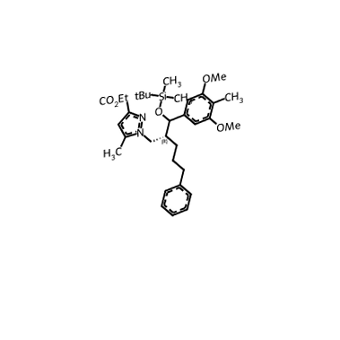 CCOC(=O)c1cc(C)n(C[C@@H](CCCc2ccccc2)C(O[Si](C)(C)C(C)(C)C)c2cc(OC)c(C)c(OC)c2)n1